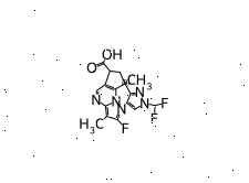 Cc1c(F)nn2c3c(cnc12)C(C(=O)O)C[C@]3(C)c1ccn(C(F)F)n1